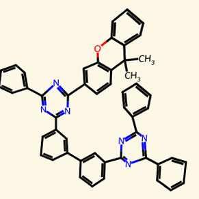 CC1(C)c2ccccc2Oc2cc(-c3nc(-c4ccccc4)nc(-c4cccc(-c5cccc(-c6nc(-c7ccccc7)nc(-c7ccccc7)n6)c5)c4)n3)ccc21